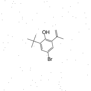 C=C(C)c1cc(Br)cc(C(C)(C)C)c1O